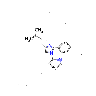 C=C(C)CCc1cn(-c2ccccn2)c(-c2ccccc2)n1